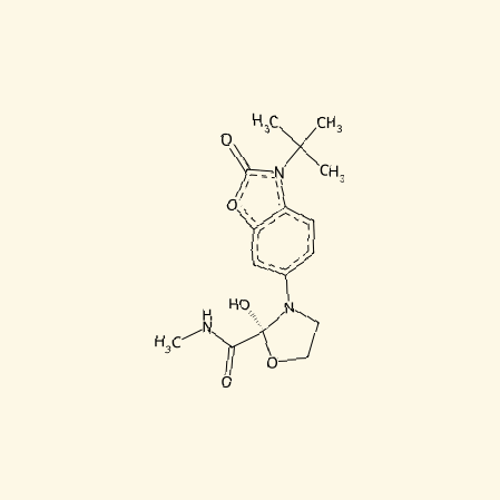 CNC(=O)[C@]1(O)OCCN1c1ccc2c(c1)oc(=O)n2C(C)(C)C